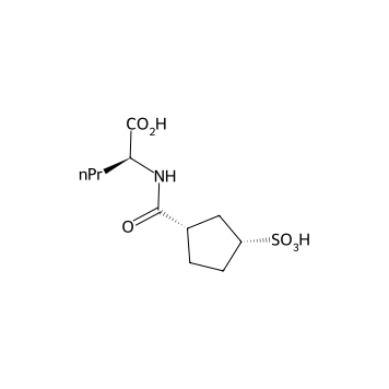 CCC[C@H](NC(=O)[C@H]1CC[C@@H](S(=O)(=O)O)C1)C(=O)O